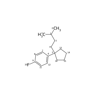 CC(C)CCC1(c2ccc(F)cc2)CCCC1